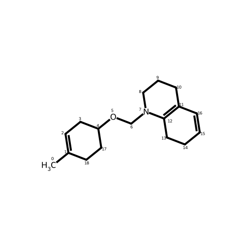 CC1=CCC(OCN2CCCC3=C2CCC=C3)CC1